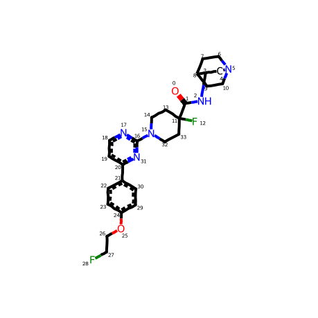 O=C(NC1CN2CCC1CC2)C1(F)CCN(c2nccc(-c3ccc(OCCF)cc3)n2)CC1